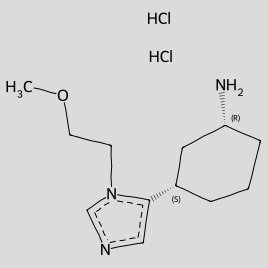 COCCn1cncc1[C@H]1CCC[C@@H](N)C1.Cl.Cl